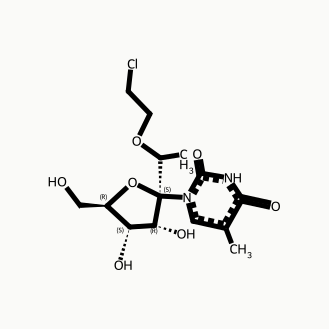 Cc1cn([C@]2(C(C)OCCCl)O[C@H](CO)[C@@H](O)[C@H]2O)c(=O)[nH]c1=O